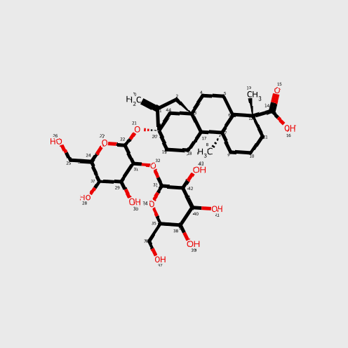 C=C1C[C@@]23CCC4[C@@](C)(CCC[C@@]4(C)C(=O)O)C2CC[C@]1(OC1OC(CO)C(O)C(O)C1OC1OC(CO)C(O)C(O)C1O)C3